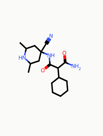 CC1CC(C#N)(NC(=O)C(C(N)=O)C2CCCCC2)CC(C)N1